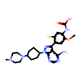 COc1cc(-c2nn(C3CCC(N4CCN(C)CC4)CC3)c3ncnc(N)c23)c(F)cc1NC(=O)O